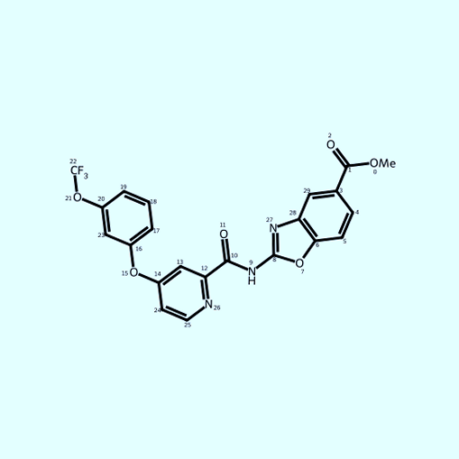 COC(=O)c1ccc2oc(NC(=O)c3cc(Oc4cccc(OC(F)(F)F)c4)ccn3)nc2c1